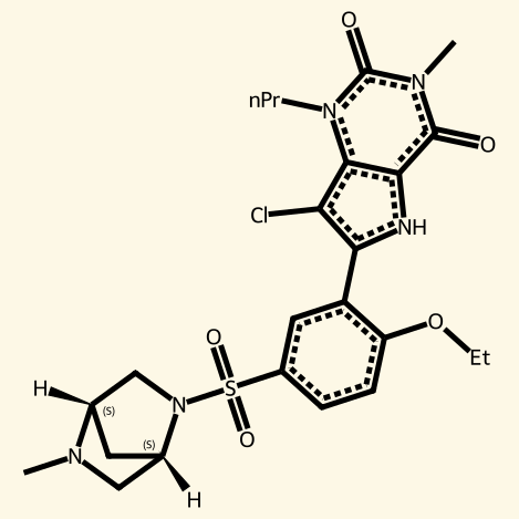 CCCn1c(=O)n(C)c(=O)c2[nH]c(-c3cc(S(=O)(=O)N4C[C@@H]5C[C@H]4CN5C)ccc3OCC)c(Cl)c21